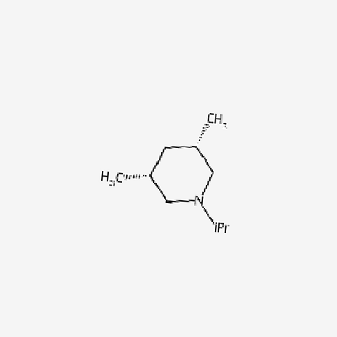 CC(C)N1C[C@H](C)C[C@H](C)C1